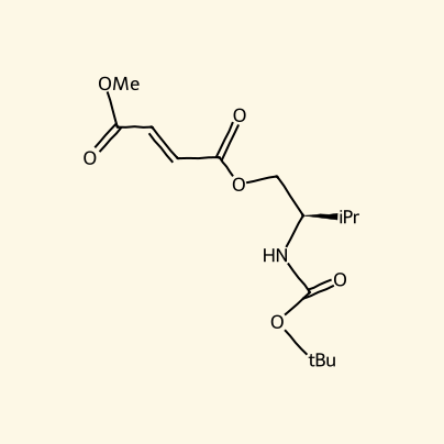 COC(=O)/C=C/C(=O)OC[C@H](NC(=O)OC(C)(C)C)C(C)C